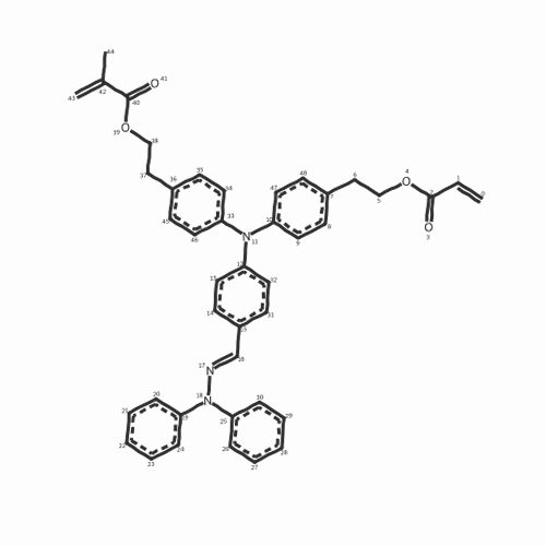 C=CC(=O)OCCc1ccc(N(c2ccc(C=NN(c3ccccc3)c3ccccc3)cc2)c2ccc(CCOC(=O)C(=C)C)cc2)cc1